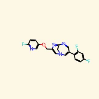 Fc1ccc(C2=CN3C=C(COc4ccc(F)nc4)N=C(C3)N=C2)c(F)c1